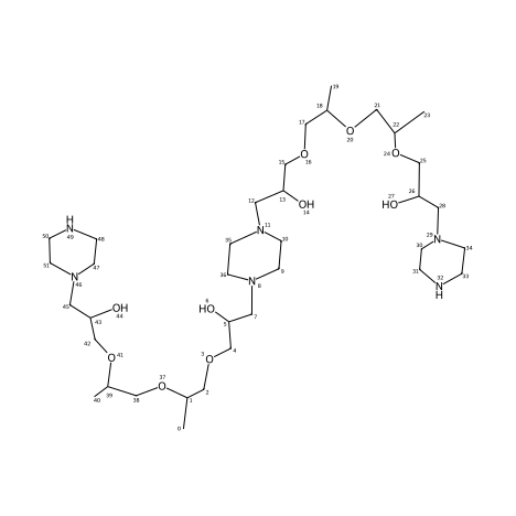 CC(COCC(O)CN1CCN(CC(O)COCC(C)OCC(C)OCC(O)CN2CCNCC2)CC1)OCC(C)OCC(O)CN1CCNCC1